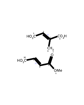 C/C(=C\C(=O)O)C(=O)O.COC(=O)/C=C/C(=O)O